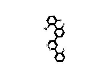 N#Cc1cccc(F)c1-c1cc(-c2cnnc(-c3ccccc3Cl)c2)ccc1F